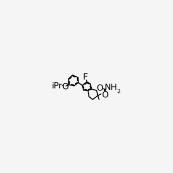 CC(C)Oc1cccc(-c2cc3c(cc2F)[C@H](OC(N)=O)C(C)(C)CC3)c1